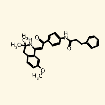 COc1ccc2c(c1)C(=CC(=O)c1ccc(NC(=O)CCc3ccccc3)cc1)NC(C)(C)C2